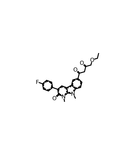 CCOCC(=O)CC(=O)c1ccc2c(c1)c1cc(-c3ccc(F)cc3)c(=O)n(C)c1n2C